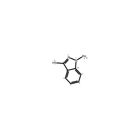 Pn1nc(S)c2ccccc21